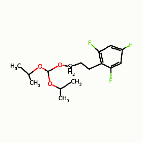 CC(C)OC(O[SiH2]CCc1c(F)cc(F)cc1F)OC(C)C